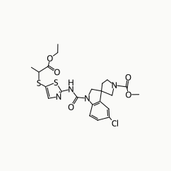 CCOC(=O)C(C)Sc1cnc(NC(=O)N2CC3(CCN(C(=O)OC)C3)c3cc(Cl)ccc32)s1